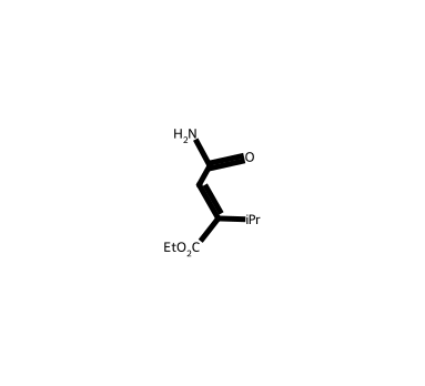 CCOC(=O)C(=CC(N)=O)C(C)C